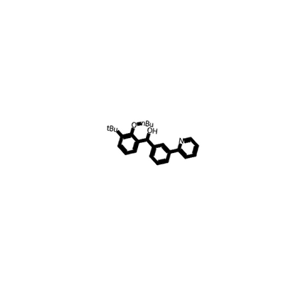 CCCCOc1c(C(O)c2cccc(-c3ccccn3)c2)cccc1C(C)(C)C